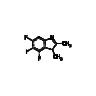 CC1=Nc2cc(F)c(I)c(F)c2C1C